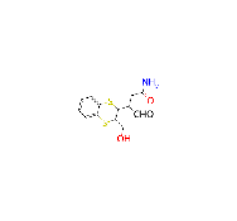 NC(=O)CC(C=O)C1Sc2ccccc2SC1CO